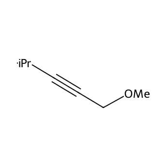 COCC#C[C](C)C